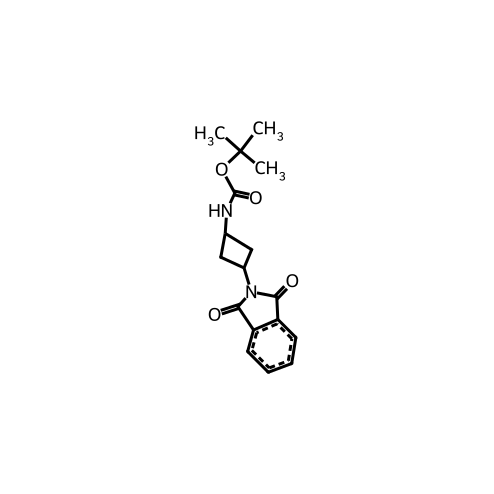 CC(C)(C)OC(=O)NC1CC(N2C(=O)c3ccccc3C2=O)C1